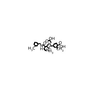 Cc1cccc(CNC(=O)c2ccncc2CN(CC(=O)O)[C@@H](C)c2ccc(C(=O)O)c(C)c2)c1